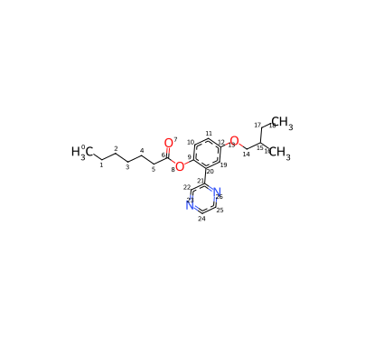 CCCCCCC(=O)Oc1ccc(OCC(C)CC)cc1-c1cnccn1